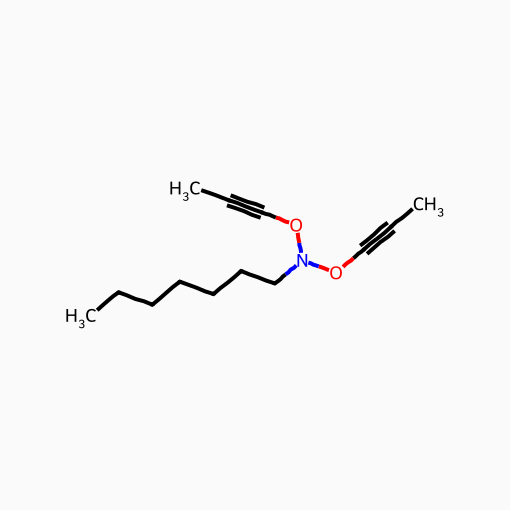 CC#CON(CCCCCCC)OC#CC